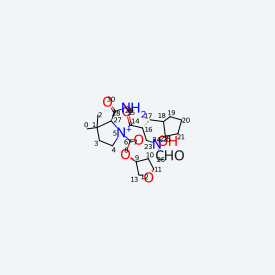 CC1(C)CC[N+](C(=O)O[C@H]2CCOC2)(C(=O)[C@H](CC2CCCC2)CN(O)C=O)[C@@H]1C(N)=O